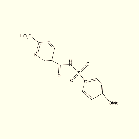 COc1ccc(S(=O)(=O)NC(=O)c2ccc(C(=O)O)nc2)cc1